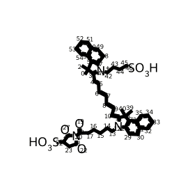 CC1(C)C(/C=C/C=C/C=C/C=C2/N(CCCCCC(=O)N3C(=O)CC(S(=O)(=O)O)C3=O)c3ccc4ccccc4c3C2(C)C)=[N+](CCCCS(=O)(=O)O)c2ccc3ccccc3c21